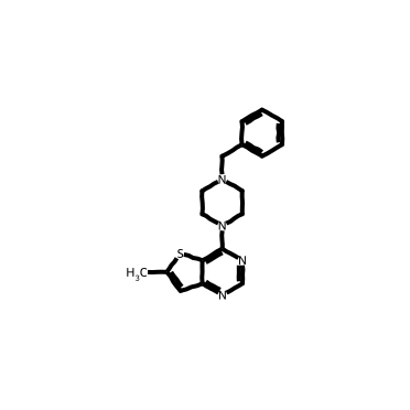 Cc1cc2ncnc(N3CCN(Cc4ccccc4)CC3)c2s1